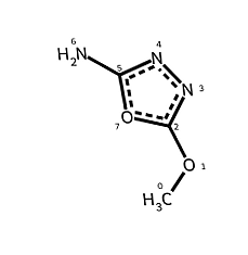 COc1nnc(N)o1